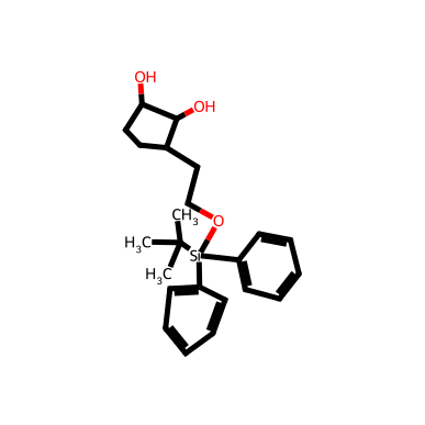 CC(C)(C)[Si](OCCC1CCC(O)C1O)(c1ccccc1)c1ccccc1